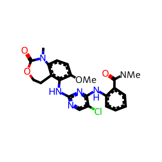 CNC(=O)c1ccccc1Nc1nc(Nc2c(OC)ccc3c2CCOC(=O)N3C)ncc1Cl